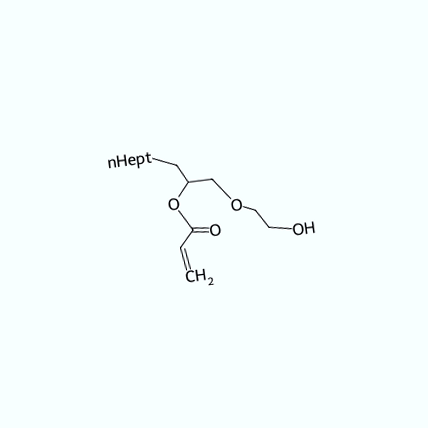 C=CC(=O)OC(CCCCCCCC)COCCO